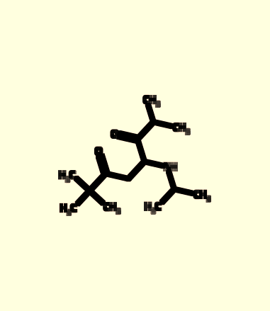 CC(C)NC(CC(=O)C(C)(C)C)C(=O)C(C)C